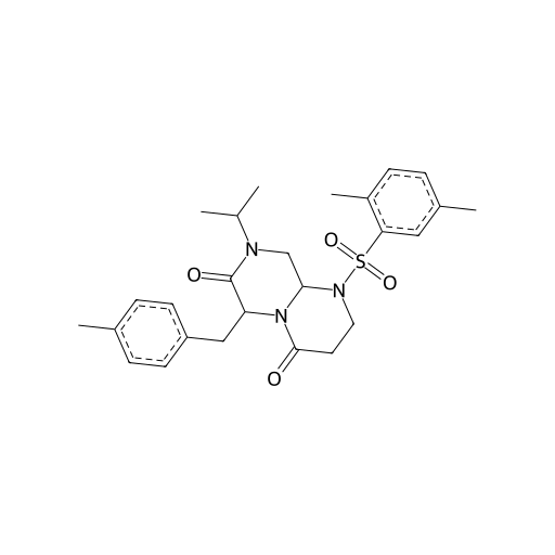 Cc1ccc(CC2C(=O)N(C(C)C)CC3N2C(=O)CCN3S(=O)(=O)c2cc(C)ccc2C)cc1